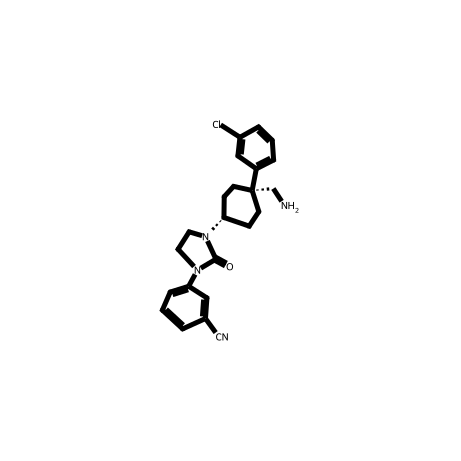 N#Cc1cccc(N2CCN([C@H]3CC[C@](CN)(c4cccc(Cl)c4)CC3)C2=O)c1